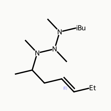 CC/C=C/CC(C)N(C)N(C)N(C)C(C)CC